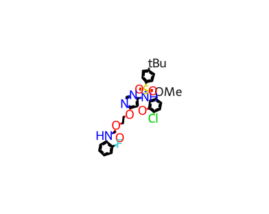 COc1ccc(Cl)c(Oc2c(NS(=O)(=O)c3ccc(C(C)(C)C)cc3)ncnc2OCCOC(=O)Nc2ccccc2F)c1